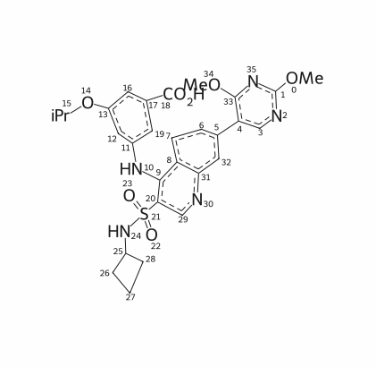 COc1ncc(-c2ccc3c(Nc4cc(OC(C)C)cc(C(=O)O)c4)c(S(=O)(=O)NC4CCC4)cnc3c2)c(OC)n1